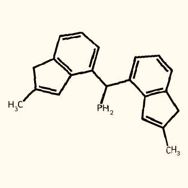 CC1=Cc2c(cccc2C(P)c2cccc3c2C=C(C)C3)C1